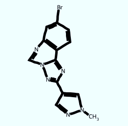 Cn1cc(-c2nc3c4ccc(Br)cc4ncn3n2)cn1